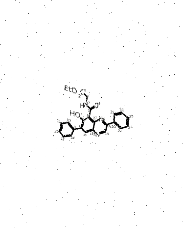 CCOC(=O)CNC(=O)c1c(O)c(-c2ccccc2)cc2ncc(-c3ccccc3)nc12